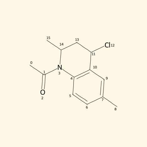 CC(=O)N1c2ccc(C)cc2C(Cl)CC1C